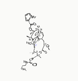 CO[C@H]1CC2C=C[C@H]3[C@H]4O[C@]2(/C(C)=C/[C@@H](C)[C@@H]([C@@H](C)OC(=O)NCCO)OC1=O)[C@@H]3[C@H](O)[C@@H](C)[C@H]4OC(=O)c1ccc[nH]1